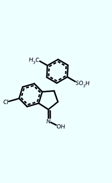 Cc1ccc(S(=O)(=O)O)cc1.ON=C1CCc2ccc(Cl)cc21